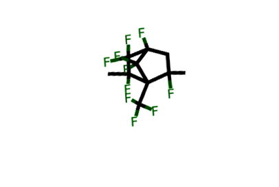 CC1(F)CC2(F)C(F)(F)C(C)(F)C1(C(F)(F)F)C2(F)F